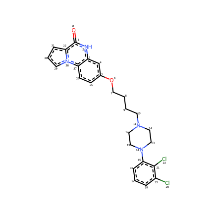 O=c1[nH]c2cc(OCCCCN3CCN(c4cccc(Cl)c4Cl)CC3)ccc2n2cccc12